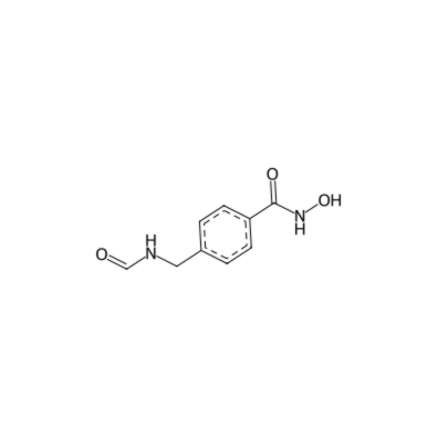 O=CNCc1ccc(C(=O)NO)cc1